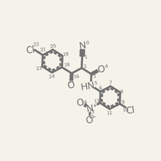 N#CC(C(=O)Nc1ccc(Cl)cc1[N+](=O)[O-])C(=O)c1ccc(Cl)cc1